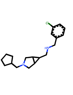 Clc1cccc(CNCC2C3CN(CC4CCCC4)CC23)c1